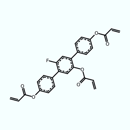 C=CC(=O)Oc1ccc(-c2cc(OC(=O)C=C)c(-c3ccc(OC(=O)C=C)cc3)cc2F)cc1